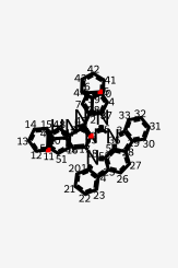 C1=C(c2ccccc2)NC(c2ccccc2)C=C1n1c2ccccc2c2ccc3c4ccccc4n(-c4nc(-c5ccccc5)nc(-c5ccccc5)n4)c3c21